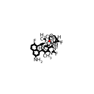 Cc1c(-c2cc(N)cc3ccc(F)c(C#C[Si](C(C)C)(C(C)C)C(C)C)c23)ncc2c(N3CCOC[C@H]4[C@H](F)[C@H]43)nc(F)nc12